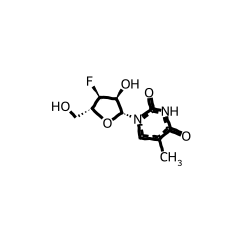 Cc1cn([C@@H]2O[C@H](CO)[C@@H](F)[C@H]2O)c(=O)[nH]c1=O